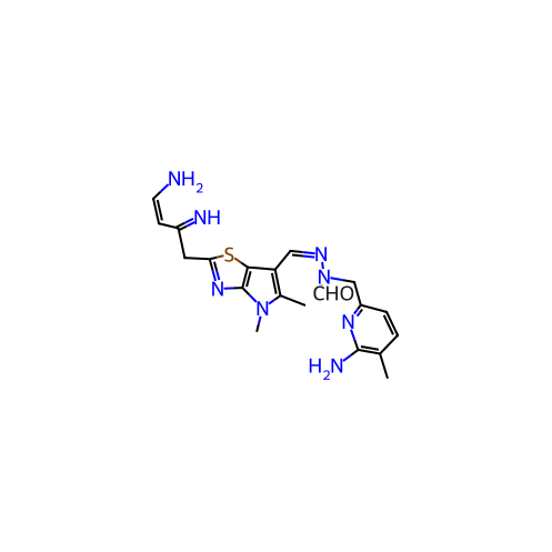 Cc1ccc(CN(C=O)/N=C\c2c(C)n(C)c3nc(CC(=N)/C=C\N)sc23)nc1N